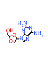 Nc1nc(N)c2ncn([C@H]3COC(CO)O3)c2n1